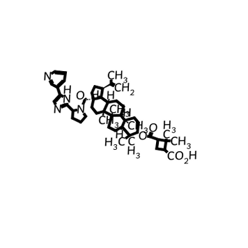 C=C(C)[C@@H]1CC[C@]2(C(=O)N3CCCC3c3ncc(-c4cccnc4)[nH]3)CC[C@]3(C)[C@H](CC[C@@H]4[C@@]5(C)CC[C@H](OC(=O)C6CC(C(=O)O)C6(C)C)C(C)(C)[C@@H]5CC[C@]43C)[C@@H]12